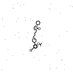 CC(C)Oc1ccc(C#N)cc1C1CCN(CCCCN2CCN(C3CCCCC3)C2=O)CC1